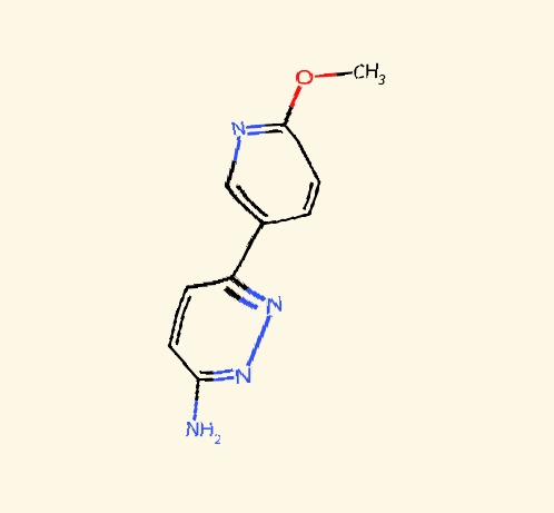 COc1ccc(-c2ccc(N)nn2)cn1